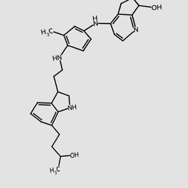 Cc1cc(Nc2ccnc3c2CCC3O)ccc1NCCC1CNc2c(CCC(C)O)cccc21